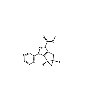 COC(=O)c1nn(-c2cnccn2)c2c1C[C@@H]1C[C@H]21